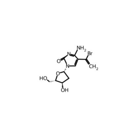 C=C(Br)c1cn([C@@H]2C[C@@H](O)[C@H](CO)O2)c(=O)nc1N